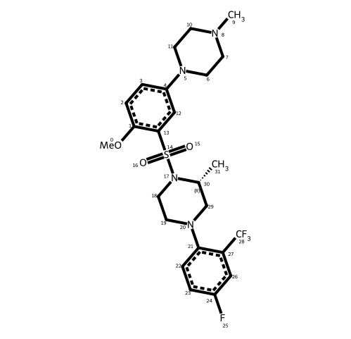 COc1ccc(N2CCN(C)CC2)cc1S(=O)(=O)N1CCN(c2ccc(F)cc2C(F)(F)F)C[C@H]1C